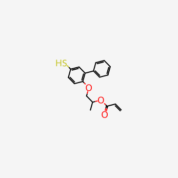 C=CC(=O)OC(C)COc1ccc(S)cc1-c1ccccc1